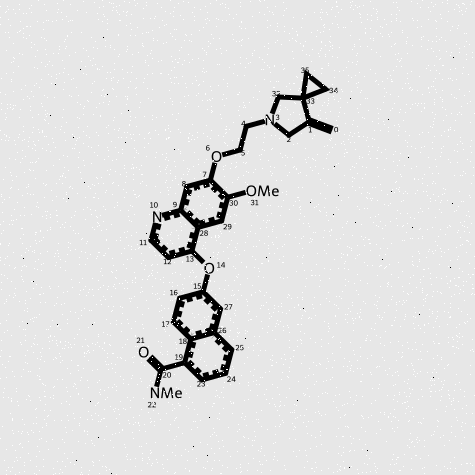 C=C1CN(CCOc2cc3nccc(Oc4ccc5c(C(=O)NC)cccc5c4)c3cc2OC)CC12CC2